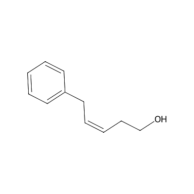 OCC/C=C\Cc1ccccc1